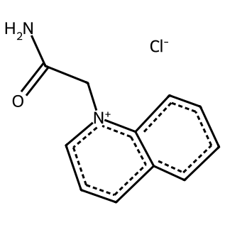 NC(=O)C[n+]1cccc2ccccc21.[Cl-]